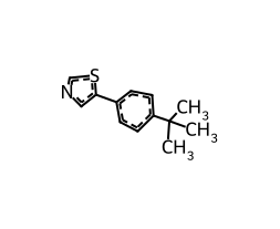 CC(C)(C)c1ccc(-c2cncs2)cc1